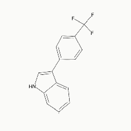 FC(F)(F)c1ccc(-c2c[nH]c3c[c]ccc23)cc1